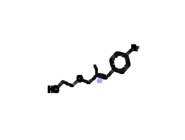 C/C(=C\c1ccc(Br)cc1)COCCO